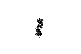 FC(F)C(F)(F)C(F)(F)OC(F)(F)C(F)(F)C(F)(F)C(F)(F)OC(F)(F)C(F)(F)C(F)F